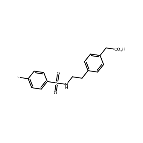 O=C(O)Cc1ccc(CCNS(=O)(=O)c2ccc(F)cc2)cc1